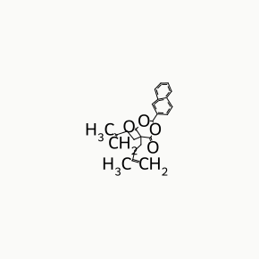 C=C(C)CCC1(CCC(=C)C)C(=O)OC(c2ccc3ccccc3c2)OC1=O